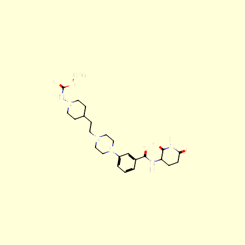 CC(C)(C)OC(=O)NN1CCC(CCN2CCN(c3cccc(C(=O)NC4CCC(=O)NC4=O)c3)CC2)CC1